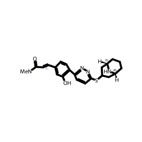 CNC(=O)/C=C/c1ccc(-c2ccc(SC3C[C@H]4CCC[C@@H](C3)N4)nn2)c(O)c1